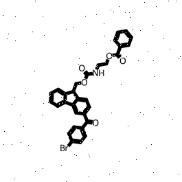 O=C(NCCOC(=O)c1ccccc1)OCC1c2ccccc2-c2cc(C(=O)c3ccc(Br)cc3)ccc21